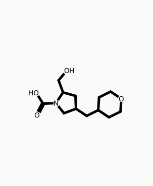 O=C(O)N1CC(CC2CCOCC2)CC1CO